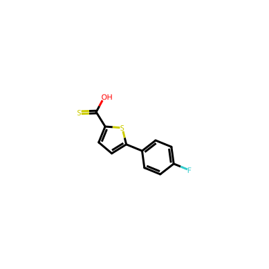 OC(=S)c1ccc(-c2ccc(F)cc2)s1